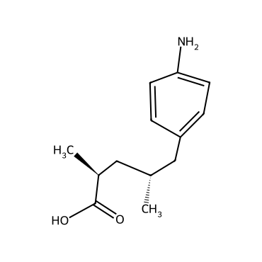 C[C@@H](Cc1ccc(N)cc1)C[C@H](C)C(=O)O